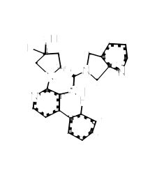 CC1(F)CCN(c2nccc(-c3ccccc3F)c2NC(=O)N2Cc3cccnc3C2)C1